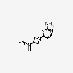 CCCNC1CN(c2ccnc(N)n2)C1